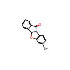 CC(C)c1ccc2c(c1)O[C]1[C]2C(=O)c2ccccc21